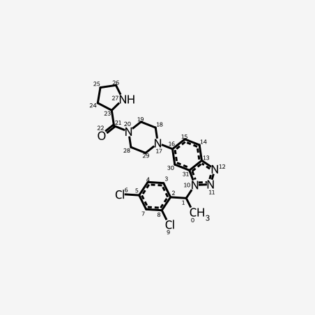 CC(c1ccc(Cl)cc1Cl)n1nnc2ccc(N3CCN(C(=O)C4CCCN4)CC3)cc21